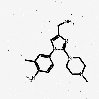 Cc1cc(-n2cc(CN)nc2N2CCN(C)CC2)ccc1N